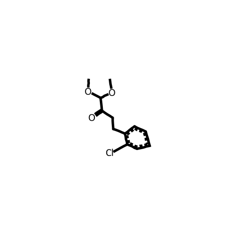 COC(OC)C(=O)CCc1ccccc1Cl